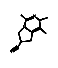 CC1=NC(C)C(C)=C2CC(C#N)CN12